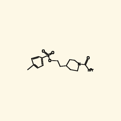 CCCC(=O)N1CCC(CCOS(=O)(=O)c2ccc(C)cc2)CC1